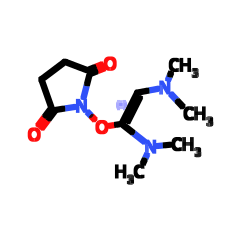 CN(C)/C=C(/ON1C(=O)CCC1=O)N(C)C